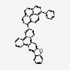 c1ccc(-c2ccc3ccc4ccc(-c5ccc6c(c5)c5ccccc5c5cc7c(cc65)oc5ccccc57)c5ccc2c3c45)cc1